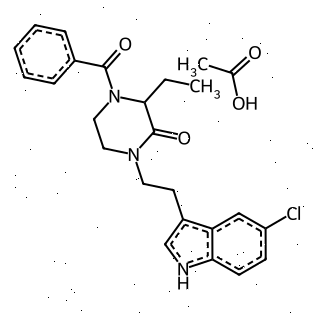 CC(=O)O.CCC1C(=O)N(CCc2c[nH]c3ccc(Cl)cc23)CCN1C(=O)c1ccccc1